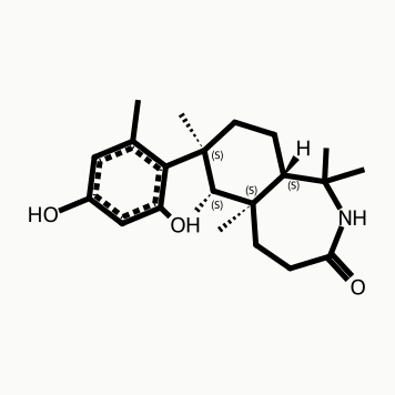 Cc1cc(O)cc(O)c1[C@@]1(C)CC[C@@H]2C(C)(C)NC(=O)CC[C@@]2(C)[C@@H]1C